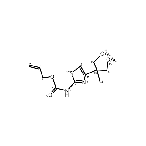 C=CCOC(=O)Nc1nc(C(C)(COC(C)=O)COC(C)=O)cs1